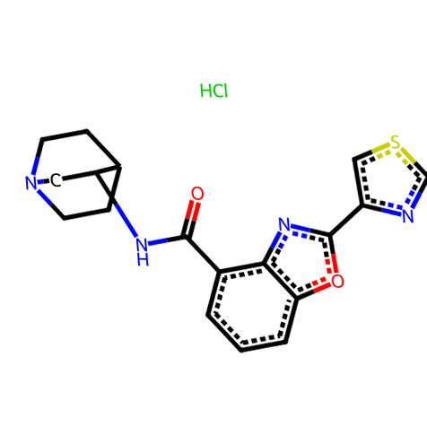 Cl.O=C(NC1CN2CCC1CC2)c1cccc2oc(-c3cscn3)nc12